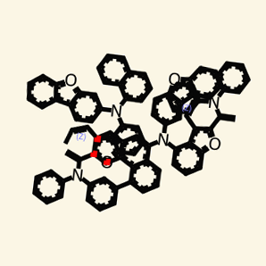 C=C(c1oc2cccc(N(c3ccc4c(c3)oc3ccccc34)c3cccc4ccccc34)c2c1/C=C\C)N(c1ccccc1)c1cccc(-c2cccc3c(N(c4ccc5oc6ccccc6c5c4)c4cccc5oc(C(=C)N(c6ccccc6)c6ccccc6)c(/C=C\C)c45)cc4ccccc4c23)c1